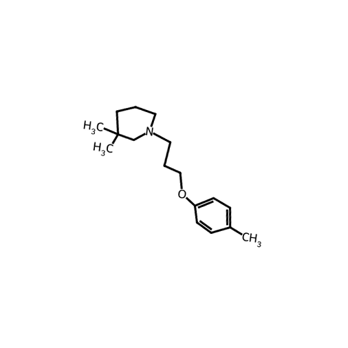 Cc1ccc(OCCCN2CCCC(C)(C)C2)cc1